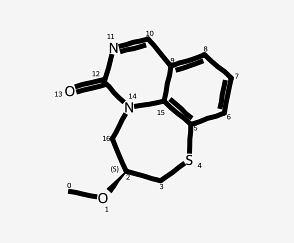 CO[C@@H]1CSc2cccc3cnc(=O)n(c23)C1